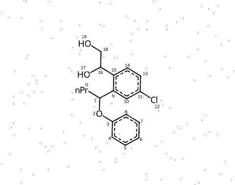 CCCC(Oc1ccccc1)c1cc(Cl)ccc1[C](O)CO